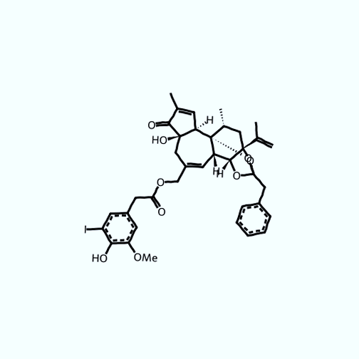 C=C(C)[C@]12C[C@@H](C)[C@@]34OC(Cc5ccccc5)(O[C@@H]1[C@@H]3C=C(COC(=O)Cc1cc(I)c(O)c(OC)c1)C[C@]1(O)C(=O)C(C)=C[C@@H]41)O2